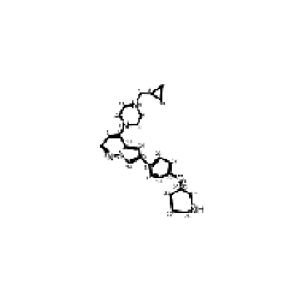 c1cc(N2CCN(CC3CC3)CC2)c2cc(-c3ccc(O[C@@H]4CCCNC4)cc3)cn2n1